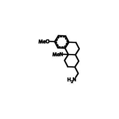 CNC12CCC(CN)CC1CCc1ccc(OC)cc12